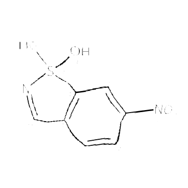 O=[N+]([O-])c1ccc2c(c1)S(O)(O)N=C2